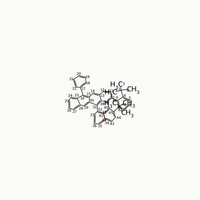 CC(C)(C)c1ccccc1-c1ccc2cc3c(-c4ccccc4)c4ccccc4cc3c(-c3ccccc3)c2c1-c1ccccc1C(C)(C)C